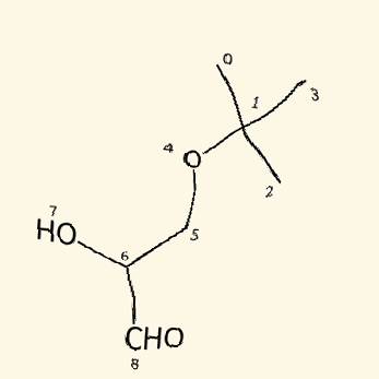 CC(C)(C)OCC(O)C=O